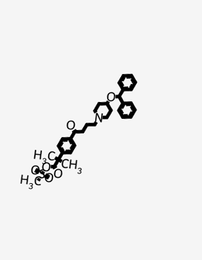 CC(C)(C(=O)OS(C)(=O)=O)c1ccc(C(=O)CCCN2CCC(OC(c3ccccc3)c3ccccc3)CC2)cc1